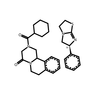 O=C(C1CCCCC1)N1CC(=O)N2CCc3ccccc3C2C1.c1ccc([C@H]2CN3CCSC3=N2)cc1